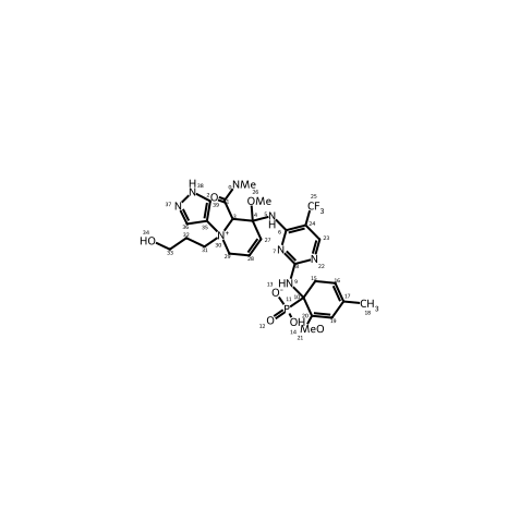 CNC(=O)C1C(Nc2nc(NC3(P(=O)([O-])O)CC=C(C)C=C3OC)ncc2C(F)(F)F)(OC)C=CC[N+]1(CCCO)c1cn[nH]c1